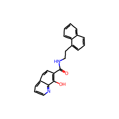 O=C(NCCc1cccc2ccccc12)c1ccc2cccnc2c1O